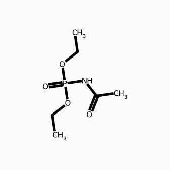 CCOP(=O)(NC(C)=O)OCC